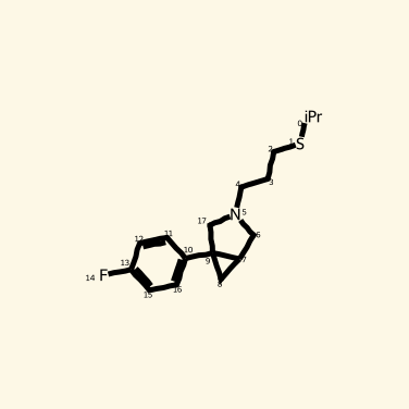 CC(C)SCCCN1CC2CC2(c2ccc(F)cc2)C1